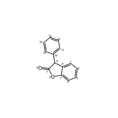 O=C1Oc2ccccc2C1c1ccccc1